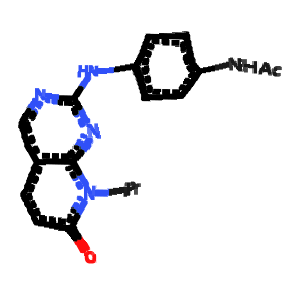 CC(=O)Nc1ccc(Nc2ncc3ccc(=O)n(C(C)C)c3n2)cc1